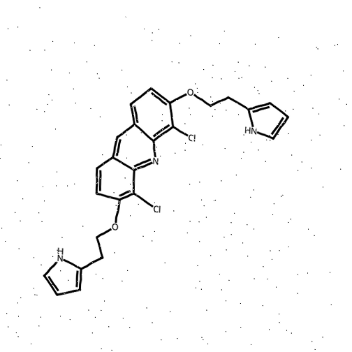 Clc1c(OCCc2ccc[nH]2)ccc2cc3ccc(OCCc4ccc[nH]4)c(Cl)c3nc12